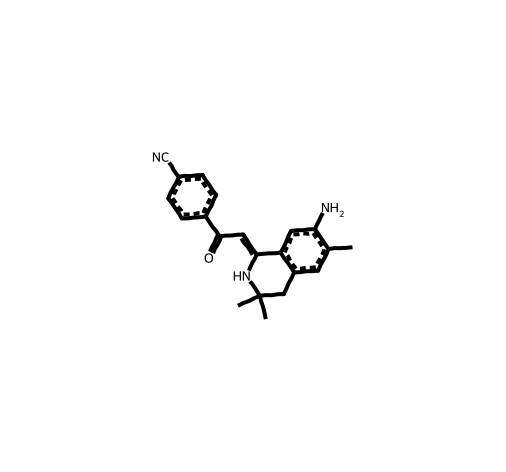 Cc1cc2c(cc1N)C(=CC(=O)c1ccc(C#N)cc1)NC(C)(C)C2